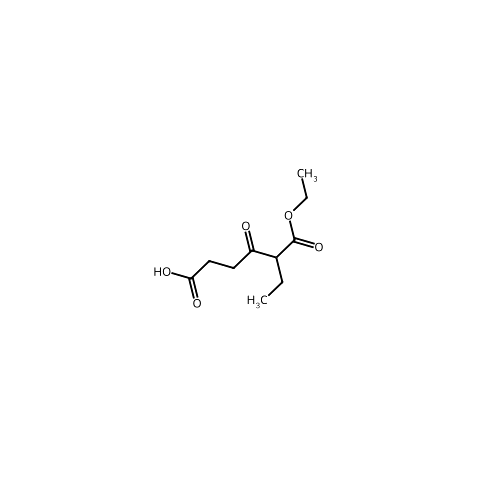 CCOC(=O)C(CC)C(=O)CCC(=O)O